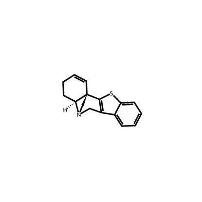 C1=C[C@]23CCN(Cc4c2sc2ccccc42)[C@H]3CC1